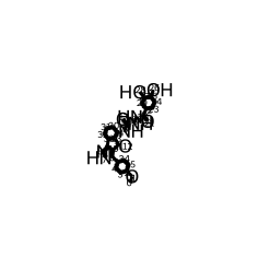 COc1ccc(-c2[nH]nc3c2C(=O)c2c(NC(=O)NNC(=O)c4ccc(O)c(O)c4)cccc2-3)cc1